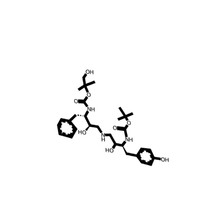 CC(C)(C)OC(=O)N[C@@H](Cc1ccc(O)cc1)C(O)CNC[C@@H](O)[C@H](Cc1ccccc1)NC(=O)OC(C)(C)CO